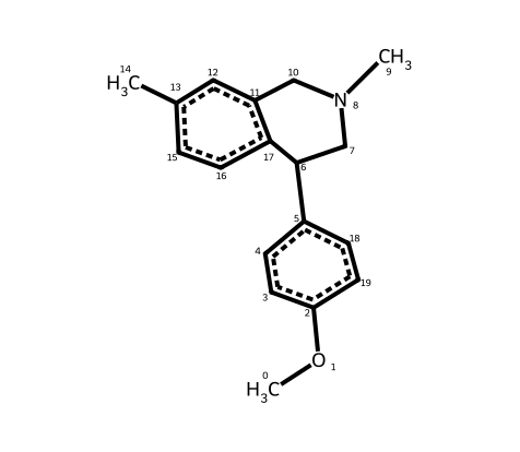 COc1ccc(C2CN(C)Cc3cc(C)ccc32)cc1